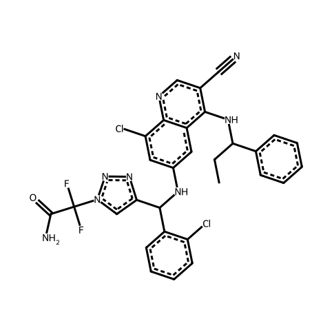 CCC(Nc1c(C#N)cnc2c(Cl)cc(NC(c3cn(C(F)(F)C(N)=O)nn3)c3ccccc3Cl)cc12)c1ccccc1